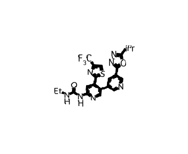 CCNC(=O)Nc1cc(-c2nc(C(F)(F)F)cs2)c(-c2cncc(-c3nnc(C(C)C)o3)c2)cn1